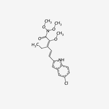 CCC(/C=C/c1cc2cc(Cl)ccc2[nH]1)=C(/OC)C(=O)N(OC)OC